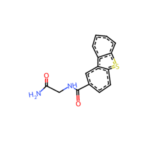 NC(=O)CNC(=O)c1ccc2sc3ccccc3c2c1